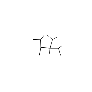 CCC(CC)C1(I)C(C)SC(C)C1C